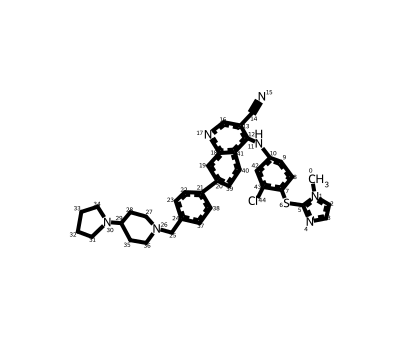 Cn1ccnc1Sc1ccc(Nc2c(C#N)cnc3cc(-c4ccc(CN5CCC(N6CCCC6)CC5)cc4)ccc23)cc1Cl